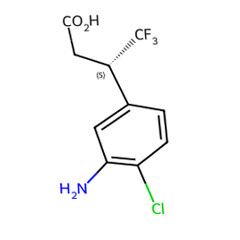 Nc1cc([C@H](CC(=O)O)C(F)(F)F)ccc1Cl